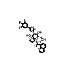 O=C(N[C@@H]1CCO[C@]12O[C@H](CO)[C@H](O)[C@H](n1cc(-c3cc(F)c(F)c(F)c3)nn1)[C@H]2O)c1cccc2cccnc12